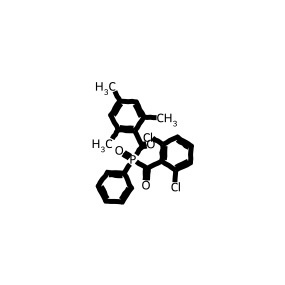 Cc1cc(C)c(C(=O)P(=O)(C(=O)c2c(Cl)cccc2Cl)c2ccccc2)c(C)c1